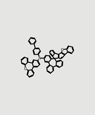 c1ccc(-c2ccc(N(c3ccc4c(c3)-c3ccccc3Oc3ccccc3-4)c3ccc4c(c3)-c3ccccc3-c3ccccc3C43c4ccccc4-c4c3ccc3c4oc4ccccc43)cc2)cc1